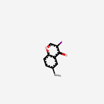 CC(=O)Nc1ccc2occ(I)c(=O)c2c1